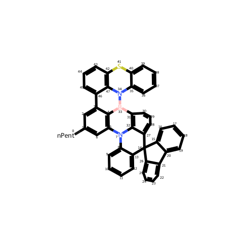 CCCCCc1cc2c3c(c1)N1c4ccccc4C4(c5ccccc5-c5ccccc54)c4cccc(c41)B3N1c3ccccc3Sc3cccc-2c31